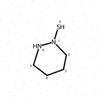 SN1CCCCN1